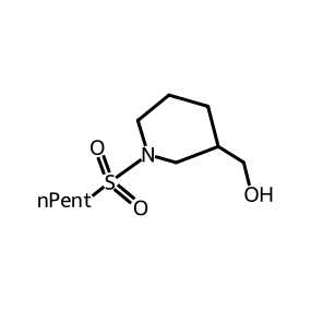 CCCCCS(=O)(=O)N1CCCC(CO)C1